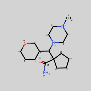 CN1CCN(C(C2CCCOC2)C2(C(N)=O)CCCC2)CC1